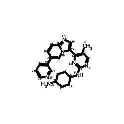 Cc1cnc(NC2CCC(N)CC2)nc1-c1cnc2ccc(-c3cccnc3)cn12